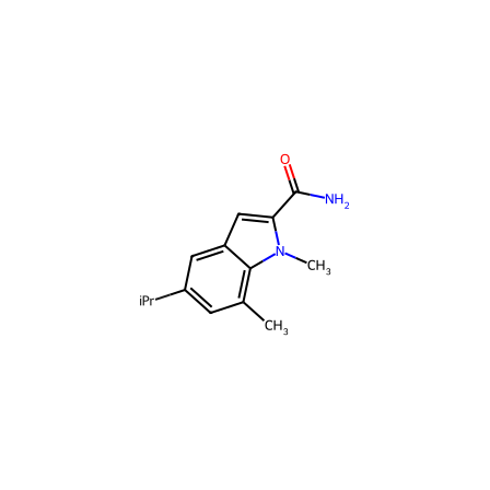 Cc1cc(C(C)C)cc2cc(C(N)=O)n(C)c12